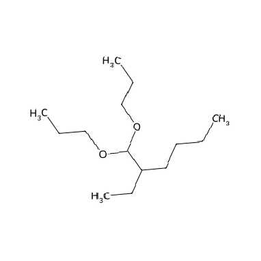 CCCCC(CC)C(OCCC)OCCC